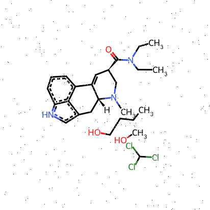 CCCCO.CCN(CC)C(=O)[C@@H]1C=C2c3cccc4[nH]cc(c34)C[C@H]2N(C)C1.CO.ClC(Cl)Cl